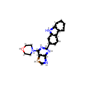 c1ccc2c(c1)[nH]c1cc(-c3nc(N4CCOCC4)c4scnc4n3)ccc12